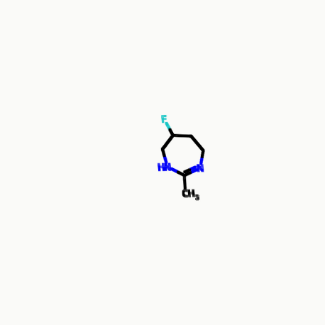 CC1=NCCC(F)CN1